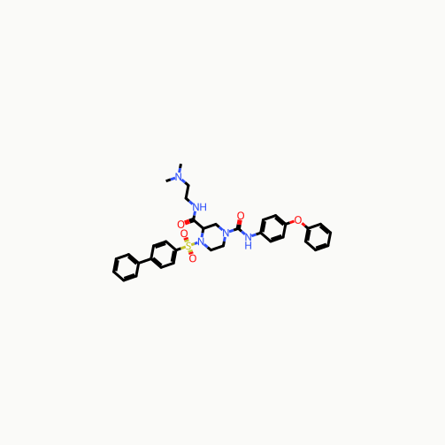 CN(C)CCNC(=O)C1CN(C(=O)Nc2ccc(Oc3ccccc3)cc2)CCN1S(=O)(=O)c1ccc(-c2ccccc2)cc1